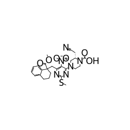 COC(=O)C1(Cc2nc(SC)nc(N3CCN(C(=O)O)[C@@H](CC#N)C3)c2[N+](=O)[O-])CCCc2ccccc21